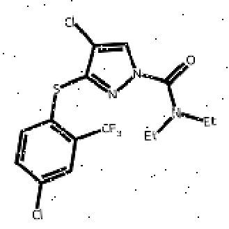 CCN(CC)C(=O)n1cc(Cl)c(Sc2ccc(Cl)cc2C(F)(F)F)n1